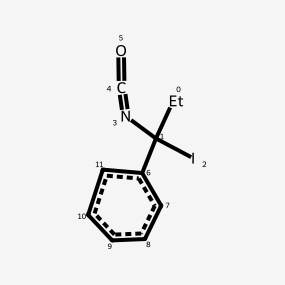 CCC(I)(N=C=O)c1ccccc1